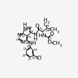 COC(=O)N[C@H](C(=O)Nc1n[nH]c2ncnc(Nc3cccc(Cl)c3)c12)C(C)C